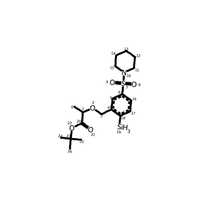 CC(OCc1cc(S(=O)(=O)N2CCCCC2)ccc1[SiH3])C(=O)OC(C)(C)C